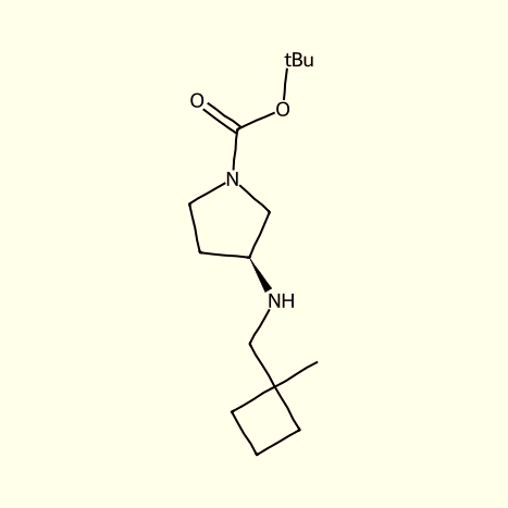 CC1(CN[C@H]2CCN(C(=O)OC(C)(C)C)C2)CCC1